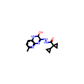 Cc1ccc2c(n1)N=C(NNC(=O)C1(C3CC3)CC1)C(O)N2